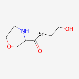 O=[C]([Sn][CH2]CO)C1COCCN1